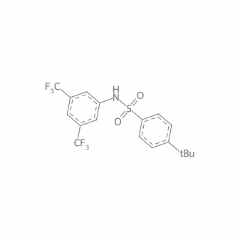 CC(C)(C)c1ccc(S(=O)(=O)Nc2cc(C(F)(F)F)cc(C(F)(F)F)c2)cc1